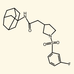 O=C(CC1CCN(S(=O)(=O)c2cccc(F)c2)C1)NC12CC3CC(CC(C3)C1)C2